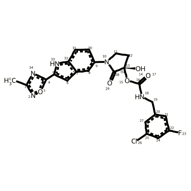 Cc1noc(-c2cc3cc(N4CC[C@](O)(OC(=O)NCc5cc(F)cc(Cl)c5)C4=O)ccc3[nH]2)n1